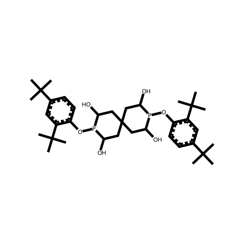 CC(C)(C)c1ccc(OP2C(O)CC3(CC2O)CC(O)P(Oc2ccc(C(C)(C)C)cc2C(C)(C)C)C(O)C3)c(C(C)(C)C)c1